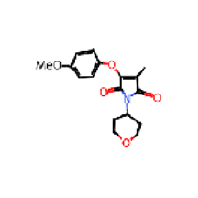 COc1ccc(OC2=C(C)C(=O)N(C3CCOCC3)C2=O)cc1